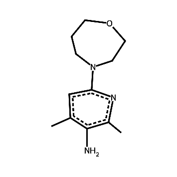 Cc1cc(N2CCCOCC2)nc(C)c1N